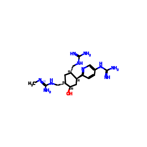 C/N=C(\N)NC[C@@H]1C[C@H](CNC(=N)N)[C@@H](c2ccc(NC(=N)N)cn2)C[C@H]1O